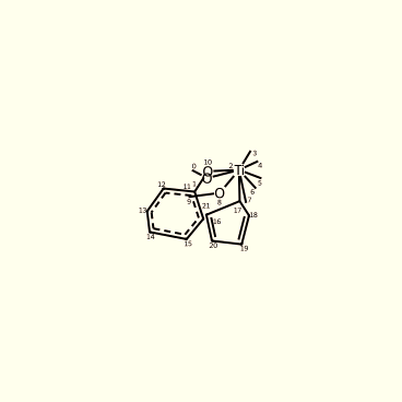 C[O][Ti]([CH3])([CH3])([CH3])([CH3])([CH3])([O]C)([O]c1ccccc1)[CH]1C=CC=C1